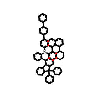 c1ccc(-c2ccc(-c3ccc(N(c4ccccc4-c4cccc5c4-c4ccccc4C5(c4ccccc4)c4ccccc4)c4ccccc4-c4cccc5cccc(C6CCCCC6)c45)cc3)cc2)cc1